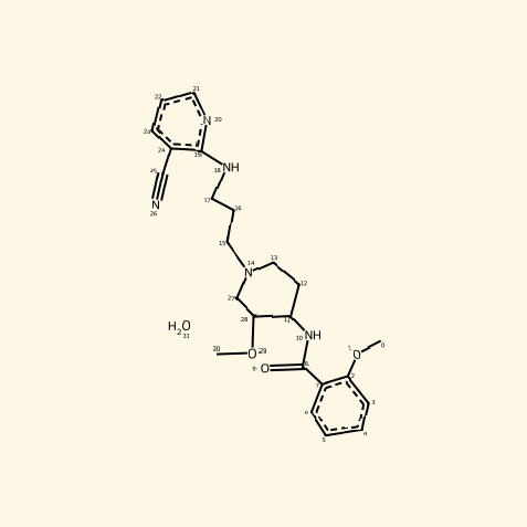 COc1ccccc1C(=O)NC1CCN(CCCNc2ncccc2C#N)CC1OC.O